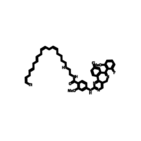 CC/C=C\CC=CCC=CC/C=C\C/C=C\CCCCNCCNC(=O)c1ccc(Nc2ncc3c(n2)-c2ccc(Cl)cc2C(c2c(F)cccc2OC)=NC3)cc1OC